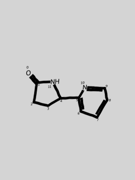 O=C1CCC(c2ccccn2)N1